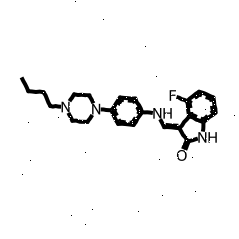 CCCCN1CCN(c2ccc(N/C=C3/C(=O)Nc4cccc(F)c43)cc2)CC1